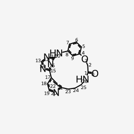 O=C1COc2cccc(c2)Nc2ncnc(n2)-c2ccnc(c2)CCCN1